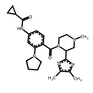 Cc1nc(C2CN(C)CCN2C(=O)c2ccc(NC(=O)C3CC3)cc2N2CCCC2)sc1C